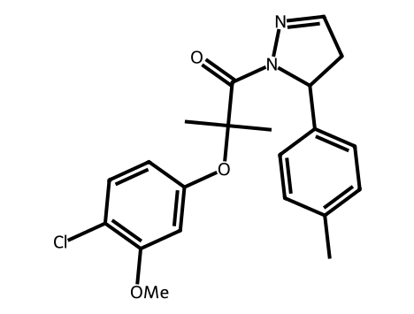 COc1cc(OC(C)(C)C(=O)N2N=CCC2c2ccc(C)cc2)ccc1Cl